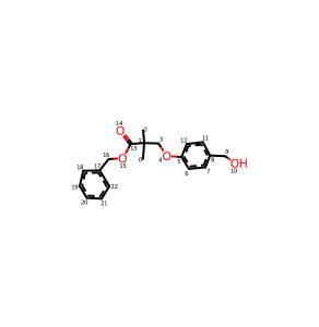 CC(C)(COc1ccc(CO)cc1)C(=O)OCc1ccccc1